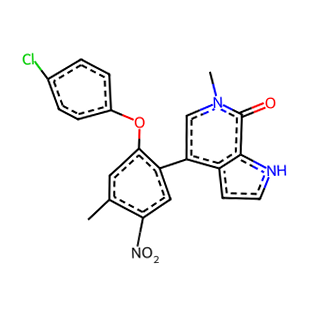 Cc1cc(Oc2ccc(Cl)cc2)c(-c2cn(C)c(=O)c3[nH]ccc23)cc1[N+](=O)[O-]